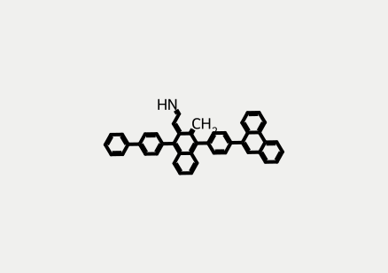 C=c1c(-c2ccc(-c3cc4ccccc4c4ccccc34)cc2)c2ccccc2c(-c2ccc(-c3ccccc3)cc2)/c1=C/C=N